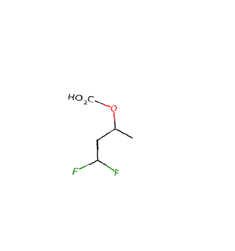 CC(CC(F)F)OC(=O)O